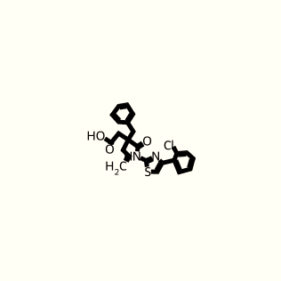 C=CCC(CC(=O)O)(Cc1ccccc1)C(=O)Nc1nc(-c2ccccc2Cl)cs1